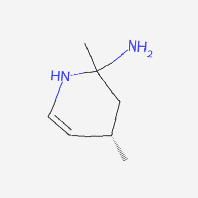 C[C@@H]1C=CNC(C)(N)C1